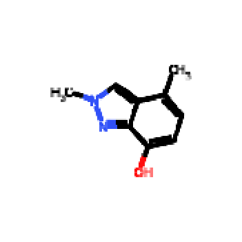 Cc1ccc(O)c2nn(C)cc12